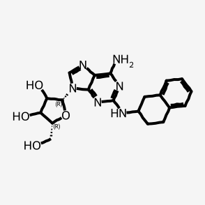 Nc1nc(NC2CCc3ccccc3C2)nc2c1ncn2[C@@H]1O[C@H](CO)C(O)C1O